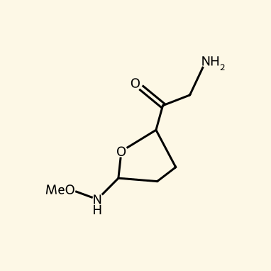 CONC1CCC(C(=O)CN)O1